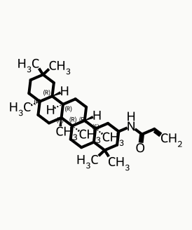 C=CC(=O)NC1CC(C)(C)C2CC[C@]3(C)[C@H](CC[C@@H]4[C@H]5CC(C)(C)CC[C@]5(C)CC[C@]43C)[C@@]2(C)C1